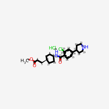 COC(=O)CC[C@H]1CC[C@H](NC(=O)c2ccc(C3CCNCC3)cc2Cl)CC1.Cl